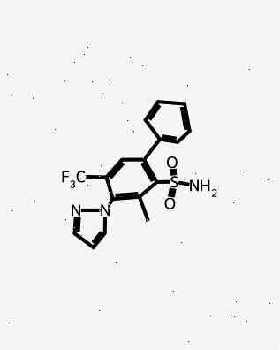 Cc1c(-n2cccn2)c(C(F)(F)F)cc(-c2ccccc2)c1S(N)(=O)=O